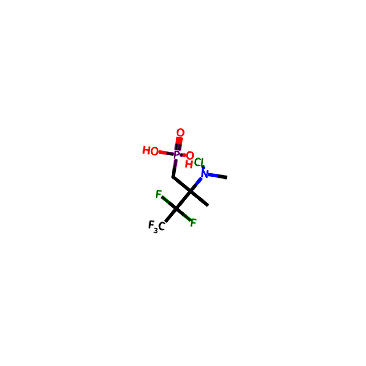 CN(Cl)C(C)(CP(=O)(O)O)C(F)(F)C(F)(F)F